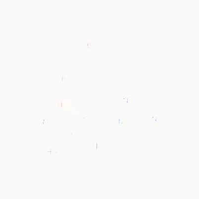 CC(C)(C)C(O)(CC(Br)=CBr)Cn1cncn1